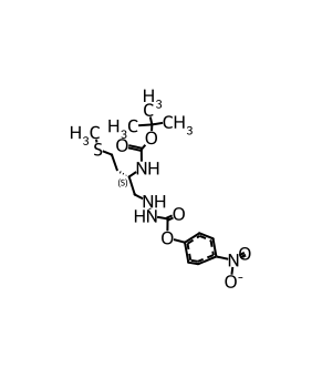 CSCC[C@@H](CNNC(=O)Oc1ccc([N+](=O)[O-])cc1)NC(=O)OC(C)(C)C